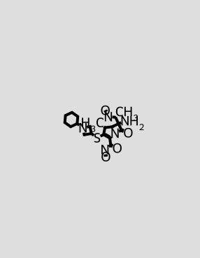 CC1C(SC2CN(C3CCCCC3)C2)=C(C(=O)N=O)N2C(=O)C(N)(C(C)N=O)C12